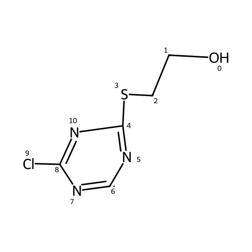 OCCSc1n[c]nc(Cl)n1